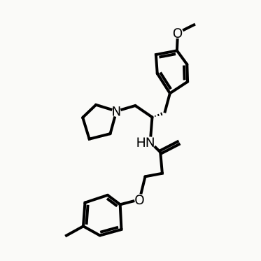 C=C(CCOc1ccc(C)cc1)N[C@@H](Cc1ccc(OC)cc1)CN1CCCC1